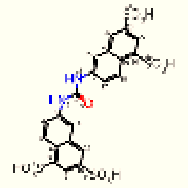 O=C(Nc1ccc2c(S(=O)(=O)O)cc(S(=O)(=O)O)cc2c1)Nc1ccc2c(S(=O)(=O)O)cc(S(=O)(=O)O)cc2c1